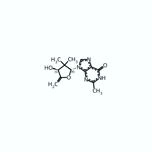 C=C1O[C@@H](n2cnc3c(=O)[nH]c(C)nc32)C(C)(C)[C@@H]1O